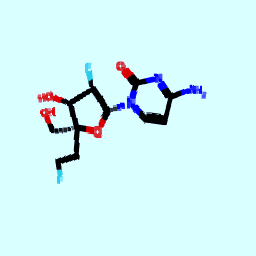 Nc1ccn([C@@H]2O[C@@](CO)(CCF)[C@@H](O)[C@H]2F)c(=O)n1